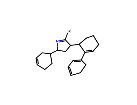 CC(C)C1=NC(C2CC=CCC2)CC1C1CCCC=C1C1=CC=CCC1